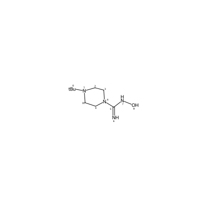 CC(C)(C)N1CCN(C(=N)NO)CC1